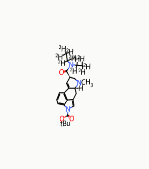 [2H]C([2H])([2H])C([2H])([2H])N(C(=O)[C@@H]1C=C2c3cccc4c3c(cn4C(=O)OC(C)(C)C)C[C@H]2N(C)C1)C([2H])([2H])C([2H])([2H])[2H]